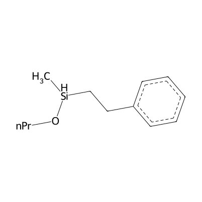 CCCO[SiH](C)CCc1ccccc1